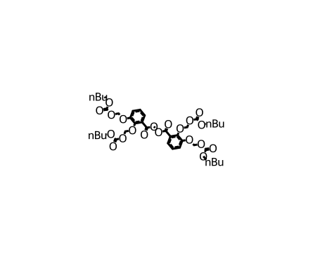 CCCCOC(=O)OCOc1cccc(C(=O)OOC(=O)c2cccc(OCOC(=O)OCCCC)c2OCOC(=O)OCCCC)c1OCOC(=O)OCCCC